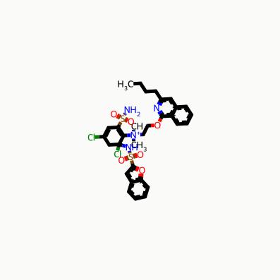 CCCCc1cc2ccccc2c(OCC[N+](C)(C)C2=C(S(N)(=O)=O)C=C(Cl)CC2(Cl)NS(=O)(=O)c2cc3ccccc3o2)n1